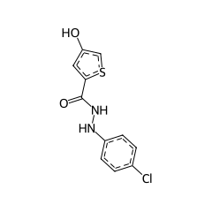 O=C(NNc1ccc(Cl)cc1)c1cc(O)cs1